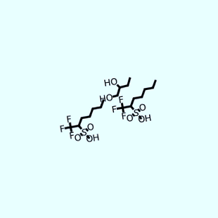 CCC(O)CO.CCCCCC(C(F)(F)F)S(=O)(=O)O.CCCCCC(C(F)(F)F)S(=O)(=O)O